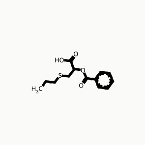 CCCSCC(OC(=O)c1ccccc1)C(=O)O